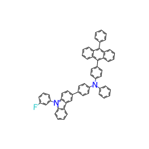 Fc1cccc(-n2c3ccccc3c3cc(-c4ccc(N(c5ccccc5)c5ccc(-c6c7ccccc7c(-c7ccccc7)c7ccccc67)cc5)cc4)ccc32)c1